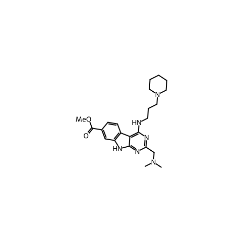 COC(=O)c1ccc2c(c1)[nH]c1nc(CN(C)C)nc(NCCCN3CCCCC3)c12